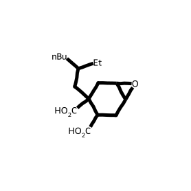 CCCCC(CC)CC1(C(=O)O)CC2OC2CC1C(=O)O